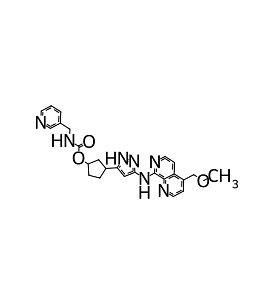 COCc1ccnc2c(Nc3cc(C4CCC(OC(=O)NCc5cccnc5)C4)[nH]n3)nccc12